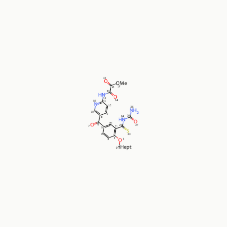 CCCCCCCOc1ccc(C(=O)c2ccc(NC(=O)C(=O)OC)nc2)cc1C(=S)NC(N)=O